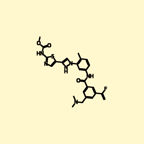 C=C(F)c1cc(CN(C)C)cc(C(=O)Nc2ccc(C)c(-n3cc(-c4cnc(NC(=O)OC)s4)[nH]3)c2)c1